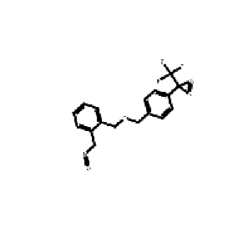 O=NCc1ccccc1COCc1ccc(C2(C(F)(F)F)N=N2)cc1